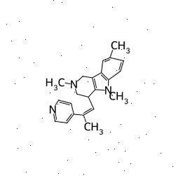 C/C(=C/C1CN(C)Cc2c1n(C)c1ccc(C)cc21)c1ccncc1